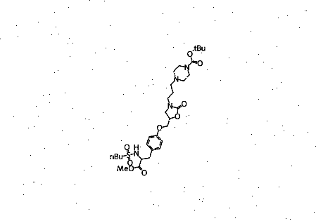 CCCCS(=O)(=O)NC(Cc1ccc(OCC2CN(CCCN3CCN(C(=O)OC(C)(C)C)CC3)C(=O)O2)cc1)C(=O)OC